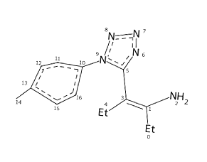 CCC(N)=C(CC)c1nnnn1-c1ccc(C)cc1